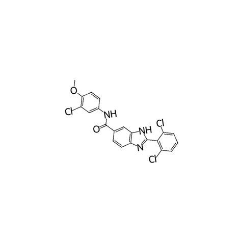 COc1ccc(NC(=O)c2ccc3nc(-c4c(Cl)cccc4Cl)[nH]c3c2)cc1Cl